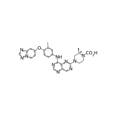 Cc1cc(Nc2ncnc3cnc(N4CCN(C(=O)O)[C@H](C)C4)nc23)ccc1Oc1ccn2ncnc2c1